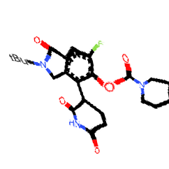 CC(C)(C)N1Cc2c(cc(F)c(OC(=O)N3CCCCC3)c2C2CCC(=O)NC2=O)C1=O